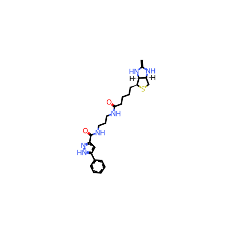 C=C1N[C@H]2[C@H](CS[C@H]2CCCCC(=O)NCCCNC(=O)c2cc(-c3ccccc3)[nH]n2)N1